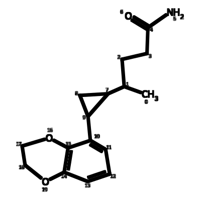 CC(CCC(N)=O)C1CC1c1cccc2c1OCCO2